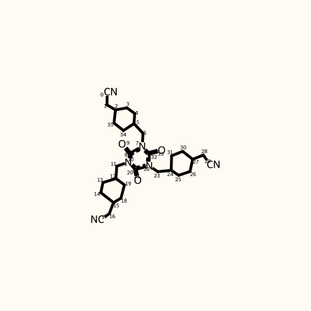 N#CCC1CCC(Cn2c(=O)n(CC3CCC(CC#N)CC3)c(=O)n(CC3CCC(CC#N)CC3)c2=O)CC1